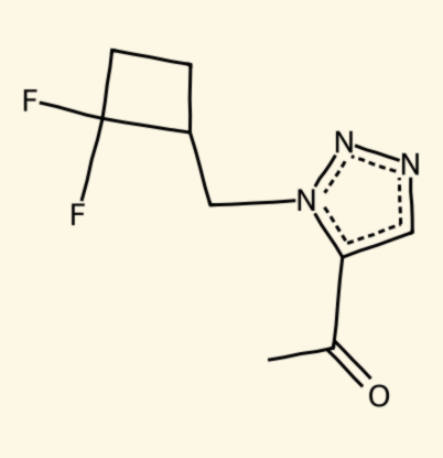 CC(=O)c1cnnn1CC1CCC1(F)F